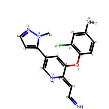 CNc1ccc(OC2=CC(c3ccnn3C)=CN/C2=C\C=N)c(F)c1